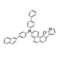 c1ccc(-c2ccc(N(c3ccc(-c4ccc5ccccc5c4)cc3)c3ccc4c(ccc5ccc6c7cccnc7oc6c54)c3)cc2)cc1